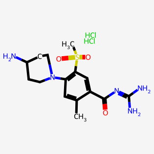 Cc1cc(N2CCC(N)CC2)c(S(C)(=O)=O)cc1C(=O)N=C(N)N.Cl.Cl